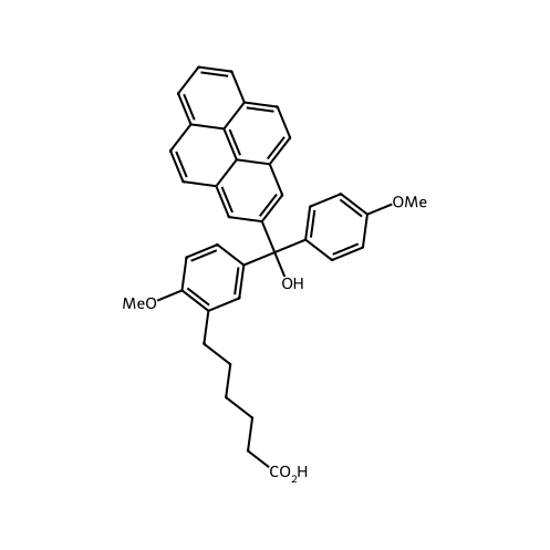 COc1ccc(C(O)(c2ccc(OC)c(CCCCCC(=O)O)c2)c2cc3ccc4cccc5ccc(c2)c3c45)cc1